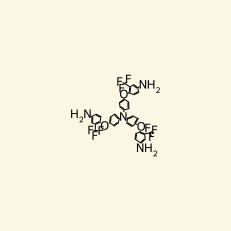 Nc1ccc(Oc2ccc(N(c3ccc(Oc4ccc(N)cc4C(F)(F)F)cc3)c3ccc(Oc4ccc(N)cc4C(F)(F)F)cc3)cc2)c(C(F)(F)F)c1